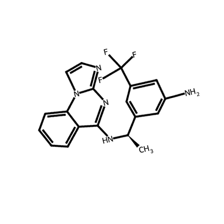 C[C@@H](Nc1nc2nccn2c2ccccc12)c1cc(N)cc(C(F)(F)F)c1